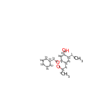 CCc1cc(CC(C)=O)c(OCc2ccccc2)cc1O